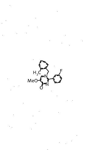 COc1cn(Cc2ccccc2C)c(-c2cccc(F)c2)nc1=O